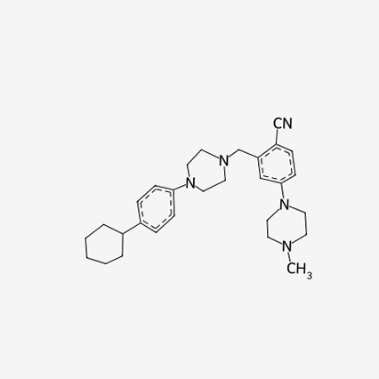 CN1CCN(c2ccc(C#N)c(CN3CCN(c4ccc(C5CCCCC5)cc4)CC3)c2)CC1